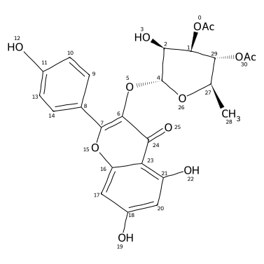 CC(=O)O[C@@H]1[C@H](O)[C@@H](Oc2c(-c3ccc(O)cc3)oc3cc(O)cc(O)c3c2=O)O[C@H](C)[C@H]1OC(C)=O